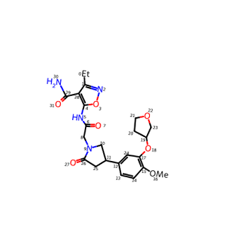 CCc1noc(NC(=O)CN2CC(c3ccc(OC)c(OC4CCOC4)c3)CC2=O)c1C(N)=O